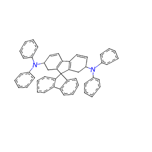 C1=CC(N(c2ccccc2)c2ccccc2)CC2=C1C1=C(CC(N(c3ccccc3)c3ccccc3)C=C1)C21c2ccccc2-c2ccccc21